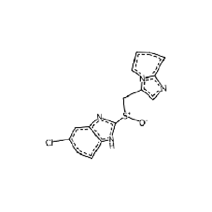 [O-][S+](Cc1cnc2ccccn12)c1nc2cc(Cl)ccc2[nH]1